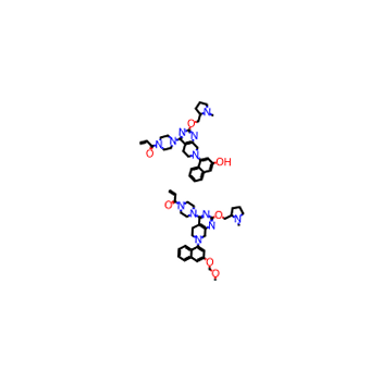 C=CC(=O)N1CCN(c2nc(OCC3CCCN3C)nc3c2CCN(c2cc(O)cc4ccccc24)C3)CC1.C=CC(=O)N1CCN(c2nc(OCC3CCCN3C)nc3c2CCN(c2cc(OCOC)cc4ccccc24)C3)CC1